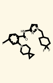 O=C(Nc1ccn(CC2CCC(F)(F)CC2)n1)c1ccc(I)cc1N1CCC2(CC1)CC2